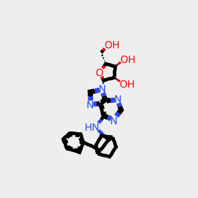 OC[C@H]1O[C@@H](n2cnc3c(NC4C5CCC(CC5)C4c4ccccc4)ncnc32)[C@H](O)[C@@H]1O